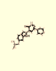 CCN(CC)Cc1ccc2cc(-c3cc(-c4ccncc4)n[nH]c3=O)[nH]c2c1